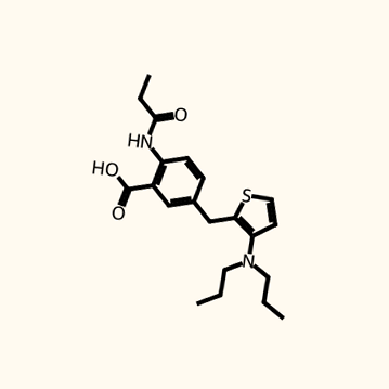 CCCN(CCC)c1ccsc1Cc1ccc(NC(=O)CC)c(C(=O)O)c1